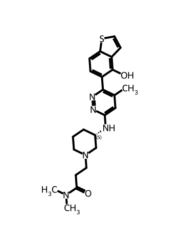 Cc1cc(N[C@H]2CCCN(CCC(=O)N(C)C)C2)nnc1-c1ccc2sccc2c1O